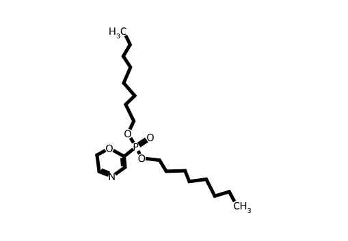 CCCCCCCCOP(=O)(OCCCCCCCC)C1=CN=CCO1